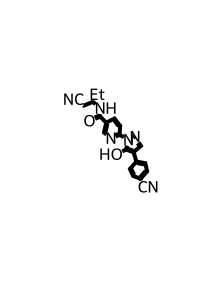 CCC(CC#N)NC(=O)c1ccc(-n2ncc(-c3ccc(C#N)cc3)c2O)nc1